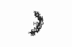 Cc1nnc(-c2ccc3cnc(NC(=O)c4cn(C5CCN(C)CC5)nn4)cc3n2)s1